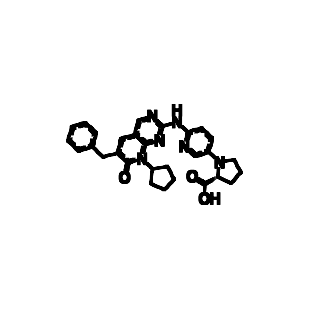 O=C(O)[C@@H]1CCCN1c1ccc(Nc2ncc3cc(Cc4ccccc4)c(=O)n(C4CCCC4)c3n2)nc1